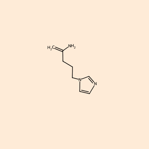 C=C(N)CCCn1ccnc1